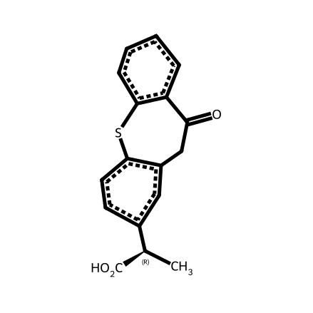 C[C@@H](C(=O)O)c1ccc2c(c1)CC(=O)c1ccccc1S2